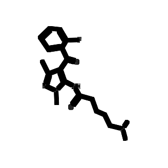 Cc1nn(C)c(NC(=O)CCCCN(C)C)c1C(=O)c1ccccc1F